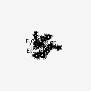 CCOC(=O)C[C@H](NC(=O)C(CC(C)C)n1cc(CCN2CC3(CC3)C2)c(C(F)(F)F)cc1=O)c1c(F)c(C)cc(-c2c(C)cc(C)cc2C)c1F.Cc1cc(C)c(-c2cc(C)c(F)c([C@H](CC(=O)O)NC(=O)C(CC(C)C)n3cc(CCN4CC5(CC5)C4)c(C(F)(F)F)cc3=O)c2F)c(C)c1